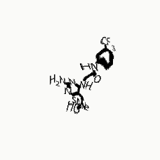 CSc1nc(N)nc(NCC(=O)Nc2cccc(C(F)(F)F)c2)c1/C=N\O